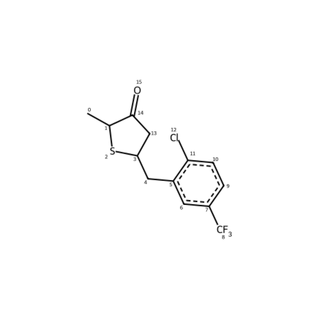 CC1SC(Cc2cc(C(F)(F)F)ccc2Cl)CC1=O